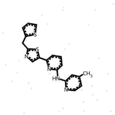 Cc1ccnc(Nc2cccc(-c3cnc(Cc4cccs4)s3)n2)c1